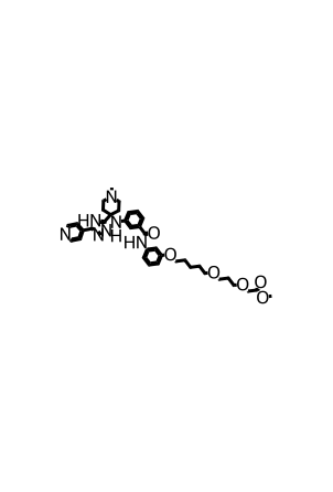 COC(=O)COCCCOCCCCCOc1cccc(NC(=O)c2cccc(NC3(c4nnc(-c5ccncc5)[nH]4)CCN(C)CC3)c2)c1